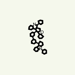 c1ccc(-c2nc3ccccc3c3c(-c4cccc(-c5cccc(-c6cccc7c6c6ccccc6n7-c6ccccc6)c5)c4)c4c(cc23)oc2ccccc24)cc1